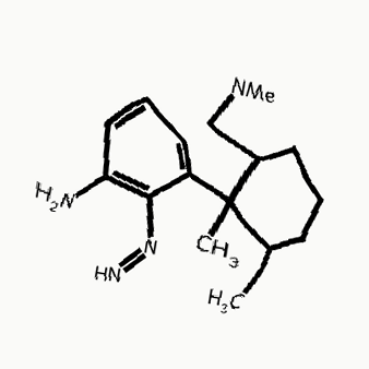 CNCC1CCCC(C)C1(C)c1cccc(N)c1N=N